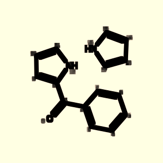 O=C(c1ccccc1)c1ccc[nH]1.c1cc[nH]c1